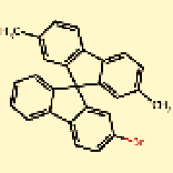 Cc1ccc2c(c1)C1(c3ccccc3-c3ccc(Br)cc31)c1cc(C)ccc1-2